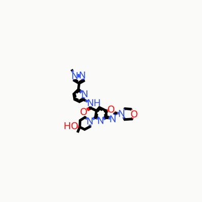 Cn1cc(-c2cccc(NC(=O)c3cc4oc(N5CCOCC5)nc4nc3N3CCC(C)(O)CC3)n2)cn1